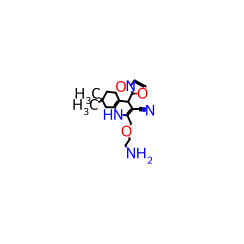 CC1(C)CC(=O)C2=C(C1)NC(COCCN)=C(C#N)C2c1ncco1